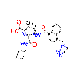 Cc1cc(NC(=O)c2ccc(Cn3ccnn3)c3ccccc23)c(C(=O)NCC2CCC2)nc1C(=O)O